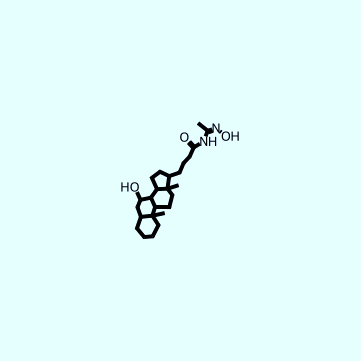 C/C(=N/O)NC(=O)CCCC1CCC2C3C(O)CC4CCCCC4(C)C3CCC12C